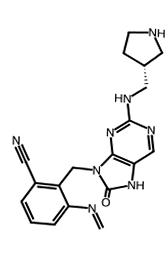 C=Nc1cccc(C#N)c1Cn1c(=O)[nH]c2cnc(NC[C@@H]3CCNC3)nc21